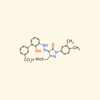 CSCC1=NN(c2ccc(C)c(C)c2)C(=O)C1=NNc1cccc(-c2cccc(C(=O)O)c2)c1O